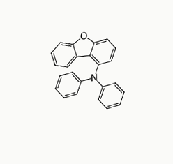 c1ccc(N(c2ccccc2)c2cccc3oc4ccccc4c23)cc1